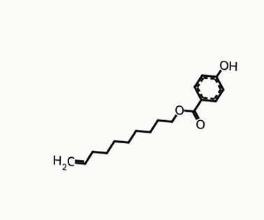 C=CCCCCCCCCOC(=O)c1ccc(O)cc1